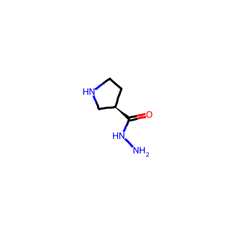 NNC(=O)[C@@H]1CCNC1